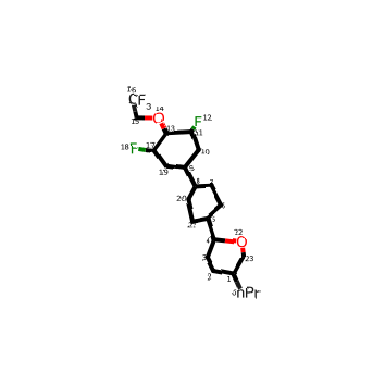 CCCC1CCC(C2CCC(C3CC(F)C(OCC(F)(F)F)C(F)C3)CC2)OC1